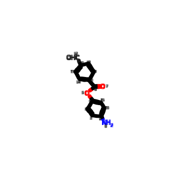 Nc1ccc(OC(=O)c2ccc(C=O)cc2)cc1